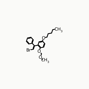 CCCCCOc1ccc(OCOC)c(C(=CBr)c2ccccc2)c1